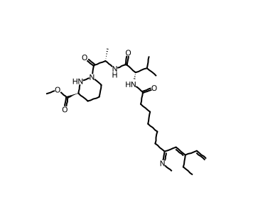 C=C/C(=C/C(CCCCCC(=O)N[C@H](C(=O)N[C@@H](C)C(=O)N1CCC[C@@H](C(=O)OC)N1)C(C)C)=N\C)CC